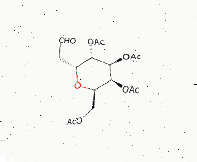 CC(=O)OC[C@H]1O[C@H](CC=O)[C@H](OC(C)=O)[C@@H](OC(C)=O)[C@H]1OC(C)=O